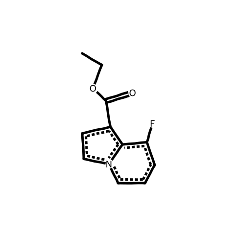 CCOC(=O)c1ccn2cccc(F)c12